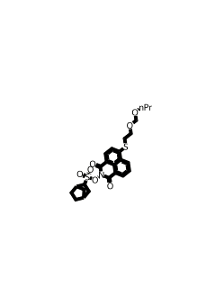 CCCOCOCCSc1ccc2c3c(cccc13)C(=O)N(OS(=O)(=O)C1CC3CCC1C3)C2=O